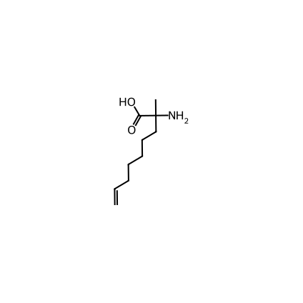 C=CCCCCCC(C)(N)C(=O)O